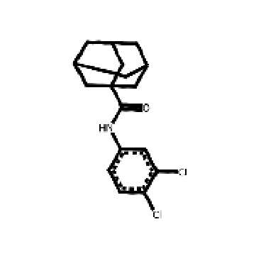 O=C(Nc1ccc(Cl)c(Cl)c1)C12CC3CC(CC(C3)C1)C2